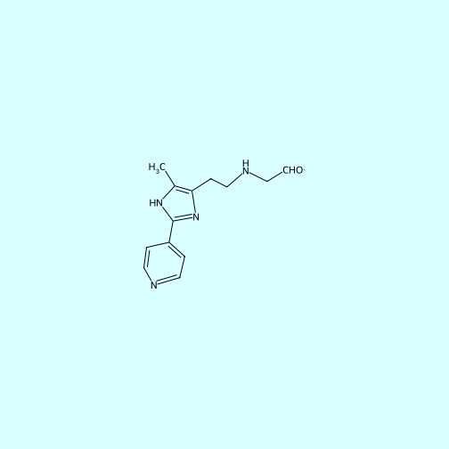 Cc1[nH]c(-c2ccncc2)nc1CCNC[C]=O